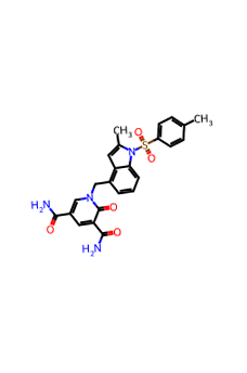 Cc1ccc(S(=O)(=O)n2c(C)cc3c(Cn4cc(C(N)=O)cc(C(N)=O)c4=O)cccc32)cc1